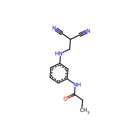 CCC(=O)Nc1cccc(NCC(C#N)C#N)c1